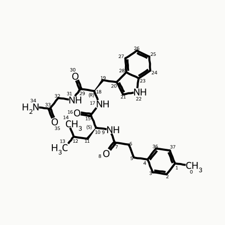 Cc1ccc(CCC(=O)N[C@@H](CC(C)C)C(=O)N[C@H](Cc2c[nH]c3ccccc23)C(=O)NCC(N)=O)cc1